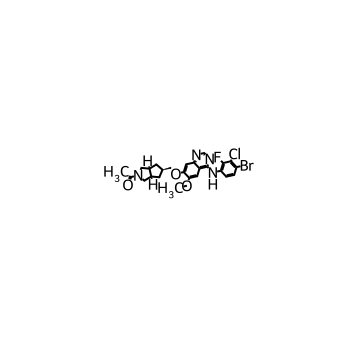 COc1cc2c(Nc3ccc(Br)c(Cl)c3F)ncnc2cc1OC[C@H]1C[C@@H]2CN(C(C)=O)C[C@@H]2C1